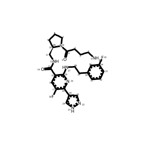 NCCCC(=O)N1CCC[C@@H]1CNC(=O)c1cc(F)c(-c2cn[nH]c2)nc1NCCc1cccc(F)c1